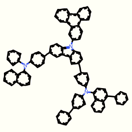 c1ccc(-c2ccc(N(c3ccc(-c4ccc5c(c4)c4cc(-c6ccc(N(c7ccccc7)c7cccc8ccccc78)cc6)ccc4n5-c4ccc5c6ccccc6c6ccccc6c5c4)cc3)c3ccc(-c4ccccc4)c4ccccc34)cc2)cc1